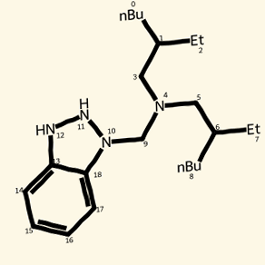 CCCCC(CC)CN(CC(CC)CCCC)CN1NNc2ccccc21